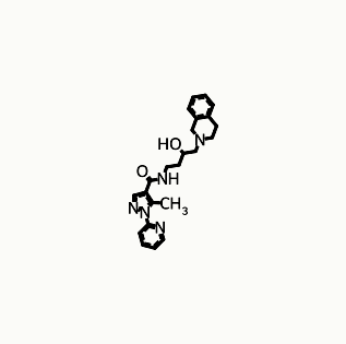 Cc1c(C(=O)NCCC(O)CN2CCc3ccccc3C2)cnn1-c1ccccn1